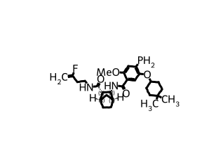 C=C(F)CCNC(=O)[C@H]1[C@@H]2CC[C@@H](C2)[C@H]1NC(=O)c1cc(OC2CCC(C)(C)CC2)c(P)cc1OC